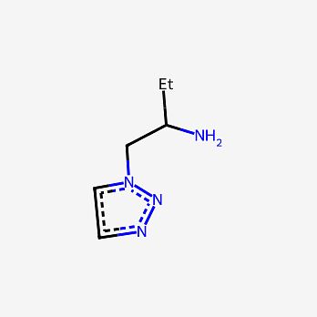 CCC(N)Cn1ccnn1